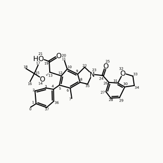 Cc1ccc(-c2c(C)c3c(c(C)c2[C@H](OC(C)(C)C)C(=O)O)CN(C(=O)c2cccc4c2OCC4)C3)cc1